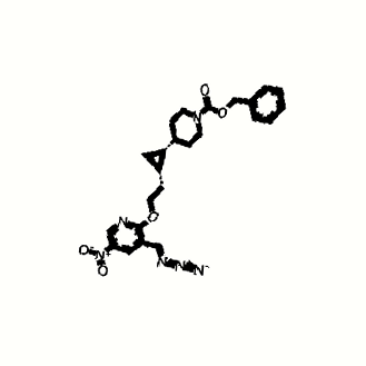 [N-]=[N+]=NCc1cc([N+](=O)[O-])cnc1OCC[C@@H]1C[C@@H]1C1CCN(C(=O)OCc2ccccc2)CC1